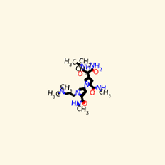 CNC(=O)c1cc(-n2cc(C(C(N)=O)C(=O)NC(C)(C)C)cc2C(=O)NC)cn1CCCN(C)C